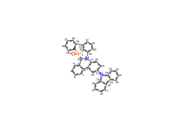 O=P12B3c4ccccc4-c4cc(-n5c6ccccc6c6ccccc65)ccc4N3c3cccc(c31)-c1ccccc12